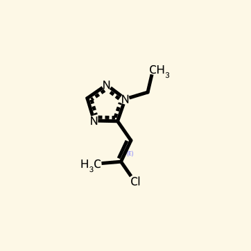 CCn1ncnc1/C=C(\C)Cl